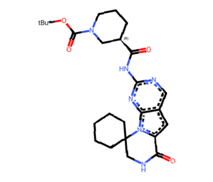 CC(C)(C)OC(=O)N1CCC[C@@H](C(=O)Nc2ncc3cc4n(c3n2)C2(CCCCC2)CNC4=O)C1